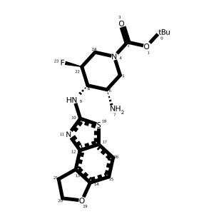 CC(C)(C)OC(=O)N1C[C@H](N)[C@H](Nc2nc3c4c(ccc3s2)OCC4)[C@@H](F)C1